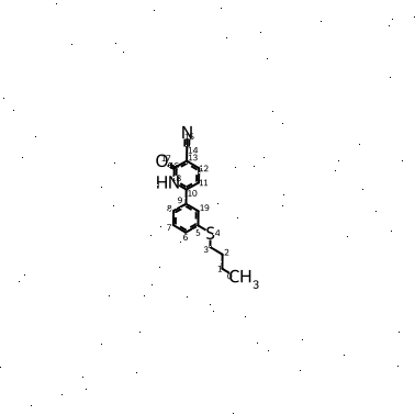 CCCCSc1cccc(-c2ccc(C#N)c(=O)[nH]2)c1